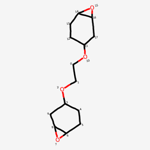 C(COC1CCC2OC2C1)OC1CCC2OC2C1